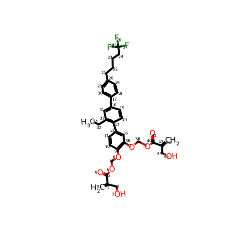 C=C(CO)C(=O)OCOc1ccc(-c2ccc(-c3ccc(CCCCC(F)(F)F)cc3)cc2CC)cc1OCOC(=O)C(=C)CO